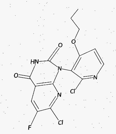 CCCOc1ccnc(Cl)c1-n1c(=O)[nH]c(=O)c2cc(F)c(Cl)nc21